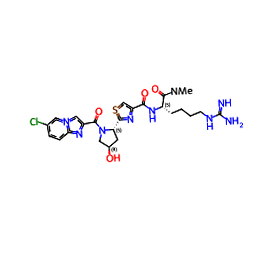 CNC(=O)[C@H](CCCCNC(=N)N)NC(=O)c1csc([C@@H]2C[C@@H](O)CN2C(=O)c2cn3cc(Cl)ccc3n2)n1